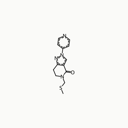 CSCN1CCc2nn(-c3ccncc3)cc2C1=O